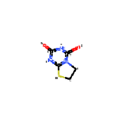 O=c1nc2n(c(=O)[nH]1)CCS2